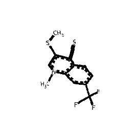 CSc1cn(C)c2cc(C(F)(F)F)ccc2c1=S